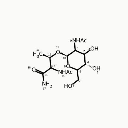 CC(=O)NC1C(O)[C@H](O)C(CO)O[C@H]1O[C@H](C)C(NC(C)=O)C(N)=O